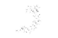 CN(C)C1CCN(C(=O)c2ccc(NC(=O)Nc3ccc(-c4nc(N5CCOCC5)c5cccn5n4)cc3)cc2)CC1